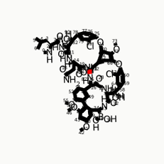 CN[C@@H](CC(C)C)C(=O)N[C@H]1C(=O)N[C@@H](CC(N)=O)C(=O)N[C@H]2C(=O)N[C@H]3C(=O)N[C@H](C(=O)NC(B(O)O)c4cc(OC)cc(OC)c4-c4cc3ccc4OC)[C@H](O)c3ccc(c(Cl)c3)Oc3cc2cc(c3OC)Oc2ccc(cc2Cl)[C@H]1O